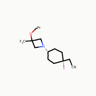 CC(C)OC1(C(F)(F)F)CN([C@H]2CC[C@](I)(CC#N)CC2)C1